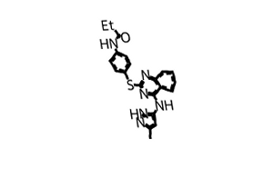 CCC(=O)Nc1ccc(Sc2nc(Nc3cc(C)n[nH]3)c3ccccc3n2)cc1